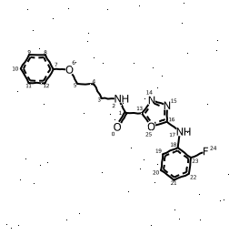 O=C(NCCCOc1ccccc1)c1nnc(Nc2ccccc2F)o1